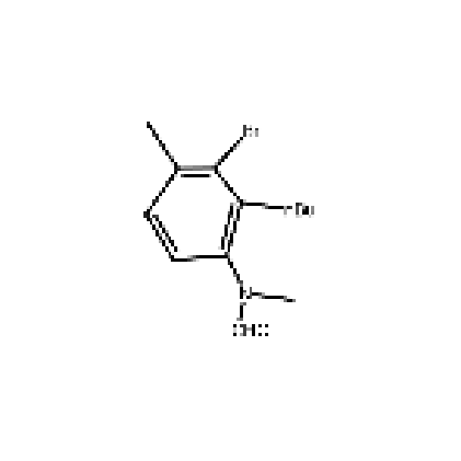 CCCCc1c(N(C)C=O)ccc(C)c1Br